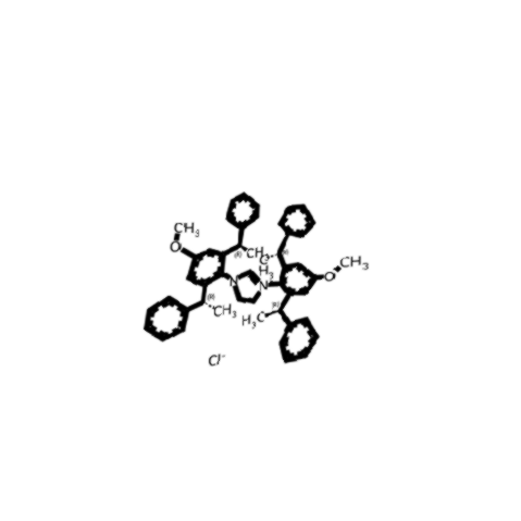 COc1cc([C@H](C)c2ccccc2)c(N2C=[N+](c3c([C@H](C)c4ccccc4)cc(OC)cc3[C@H](C)c3ccccc3)CC2)c([C@H](C)c2ccccc2)c1.[Cl-]